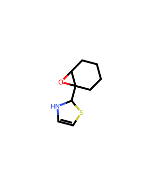 C1=CSC(C23CCCCC2O3)N1